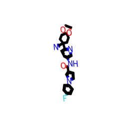 N#CC1(c2ccc(NC(=O)c3ccn(-c4ccc(F)cc4)c3)cn2)CCC2(CC1)OCCO2